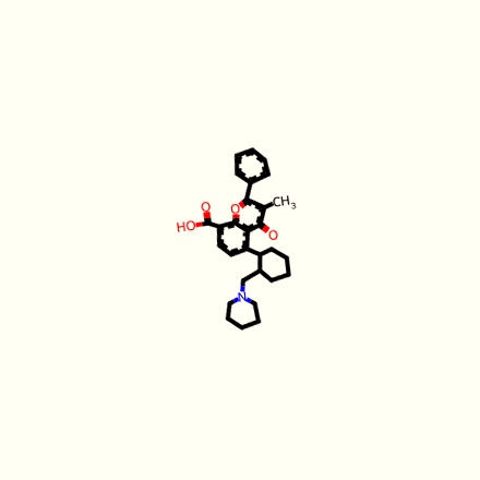 Cc1c(-c2ccccc2)oc2c(C(=O)O)ccc(C3CCCCC3CN3CCCCC3)c2c1=O